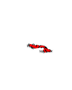 O=C1CCC(N2C(=O)c3ccc(N4CCN(CCC5CN(CCOc6ccc(Oc7c(-c8ccc(Br)cc8)sc8cc(O)ccc78)cc6)C5)CC4)cc3C2=O)C(=O)N1